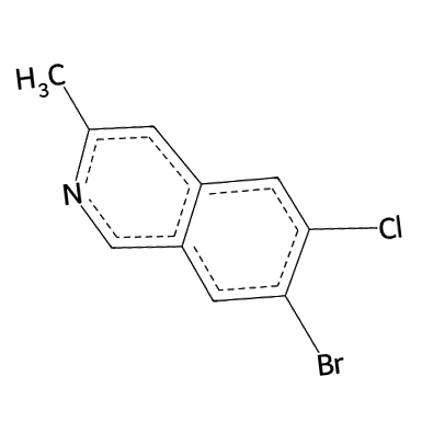 Cc1cc2cc(Cl)c(Br)cc2cn1